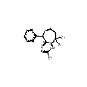 CC1(C)CCCN(c2ccccc2)C(=O)C1NC(=O)O